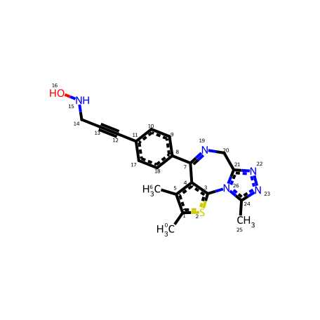 Cc1sc2c(c1C)C(c1ccc(C#CCNO)cc1)=NCc1nnc(C)n1-2